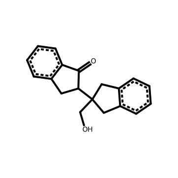 O=C1c2ccccc2CC1C1(CO)Cc2ccccc2C1